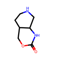 O=C1NC2CNCCC2CO1